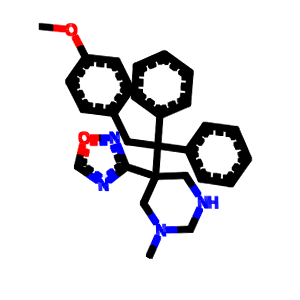 COc1ccc(CC(c2ccccc2)(c2ccccc2)C2(c3ncon3)CNCN(C)C2)cc1